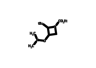 CCOC(=O)N1CC(ON(C)C)C1C(C)(C)C